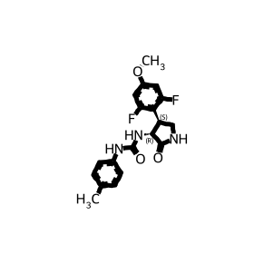 COc1cc(F)c([C@H]2CNC(=O)[C@@H]2NC(=O)Nc2ccc(C)cc2)c(F)c1